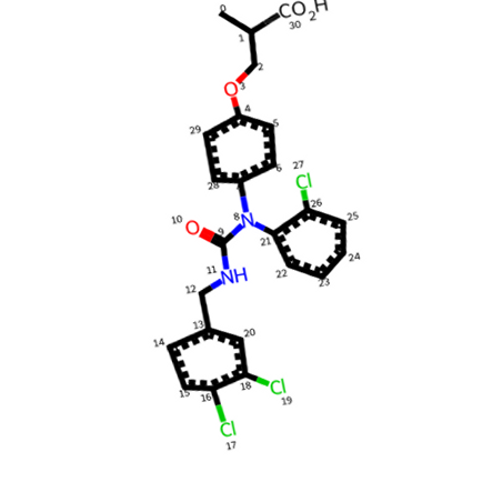 CC(COc1ccc(N(C(=O)NCc2ccc(Cl)c(Cl)c2)c2ccccc2Cl)cc1)C(=O)O